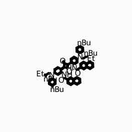 CCCCc1ccc(N(CC(CC)CCCC)c2ccc(C3=C([O-])/C(=C4C=C/C(=[N+](\CC(CC)CCCC)c5ccc(CCCC)cc5)C=C/4NC(=O)c4ccc5ccccc5c4)C3=O)c(NC(=O)c3ccc4ccccc4c3)c2)cc1